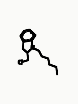 CCCCCCN1c2ccccc2CC1CCl